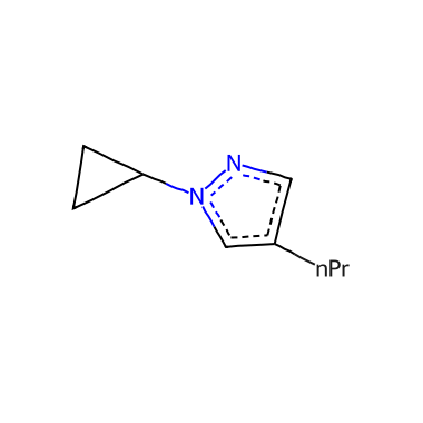 CCCc1cnn(C2CC2)c1